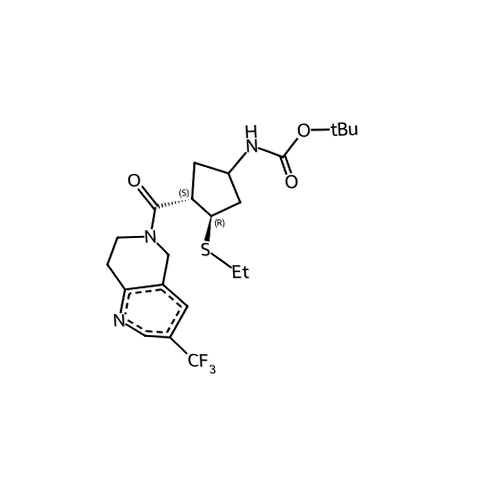 CCS[C@@H]1CC(NC(=O)OC(C)(C)C)C[C@H]1C(=O)N1CCc2ncc(C(F)(F)F)cc2C1